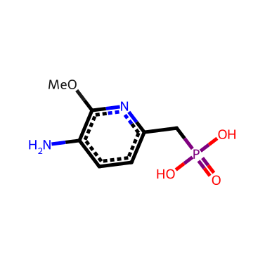 COc1nc(CP(=O)(O)O)ccc1N